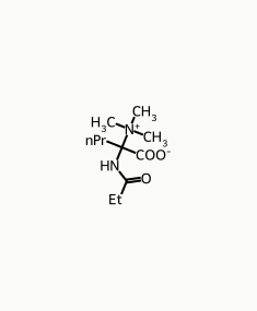 CCCC(NC(=O)CC)(C(=O)[O-])[N+](C)(C)C